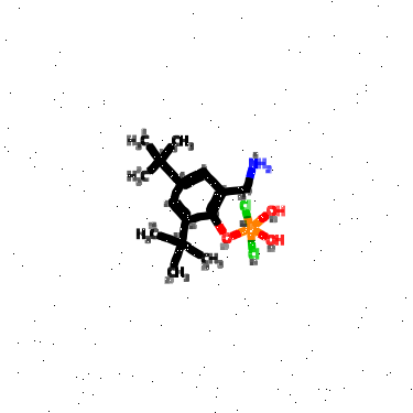 CC(C)(C)c1cc(CN)c(OP(O)(O)(Cl)Cl)c(C(C)(C)C)c1